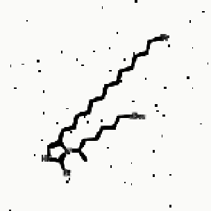 CCCCCCCCCCCCCCCC(C)[n+]1c(CCCCCCCCCCCCCC(C)C)c[nH]c1CC